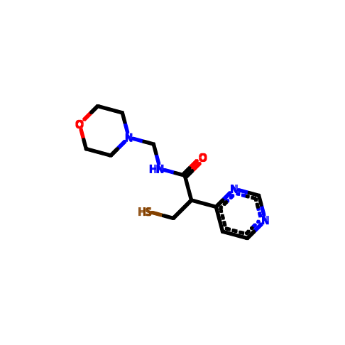 O=C(NCN1CCOCC1)C(CS)c1ccncn1